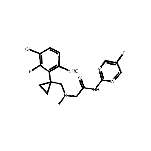 CN(CC(=O)Nc1ncc(F)cn1)CC1(c2c(C=O)ccc(Cl)c2F)CC1